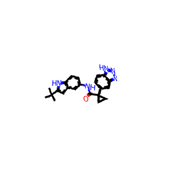 CC(C)(C)c1cc2cc(NC(=O)C3(c4ccc5[nH]nnc5c4)CC3)ccc2[nH]1